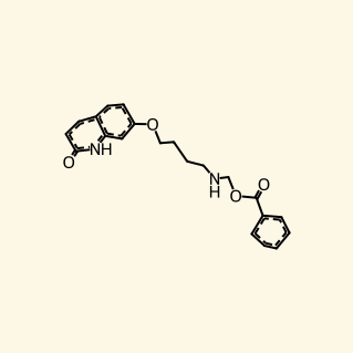 O=C(OCNCCCCOc1ccc2ccc(=O)[nH]c2c1)c1ccccc1